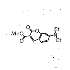 CCN(CC)c1ccc2cc(C(=O)OC)c(=O)oc2c1